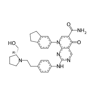 NC(=O)c1cn(-c2ccc3c(c2)CCC3)c2nc(Nc3ccc(CCN4CCC[C@@H]4CO)cc3)ncc2c1=O